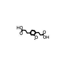 COc1cc(CCC(=O)O)ccc1CCC(=O)O